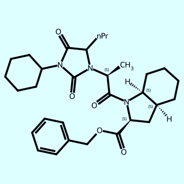 CCCC1C(=O)N(C2CCCCC2)C(=O)N1[C@@H](C)C(=O)N1[C@H](C(=O)OCc2ccccc2)C[C@@H]2CCCC[C@@H]21